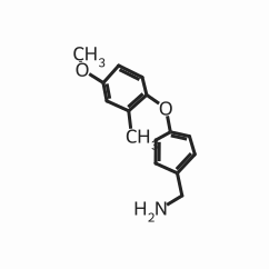 COc1ccc(Oc2ccc(CN)cc2)c(C)c1